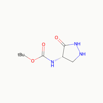 CC(C)(C)OC(=O)N[C@H]1CNNC1=O